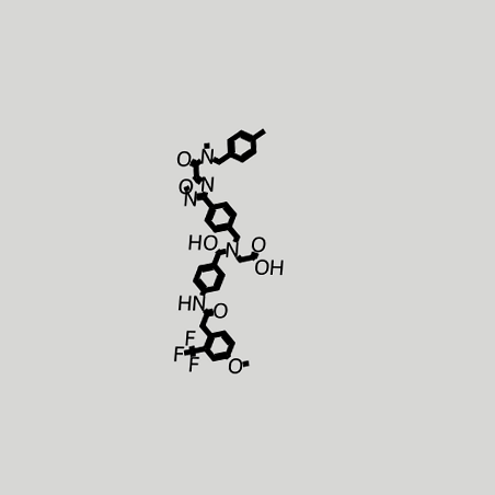 COc1ccc(CC(=O)Nc2ccc(C(O)N(CC(=O)O)Cc3ccc(-c4noc(C(=O)N(C)Cc5ccc(C)cc5)n4)cc3)cc2)c(C(F)(F)F)c1